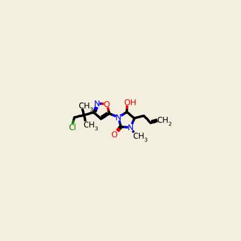 C=CCC1C(O)N(c2cc(C(C)(C)CCl)no2)C(=O)N1C